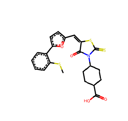 CSc1ccccc1-c1ccc(C=C2SC(=S)N(C3CCC(C(=O)O)CC3)C2=O)o1